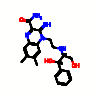 Cc1cc2nc(C(N)=O)c(=N)n(CCN[C@H](CO)[C@H](O)c3ccccc3)c2cc1C